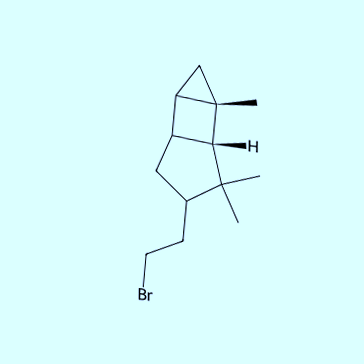 CC1(C)C(CCBr)CC2C3C[C@]3(C)[C@@H]21